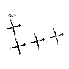 F[B-](F)(F)F.F[B-](F)(F)F.F[B-](F)(F)F.F[B-](F)(F)F.[Os+4]